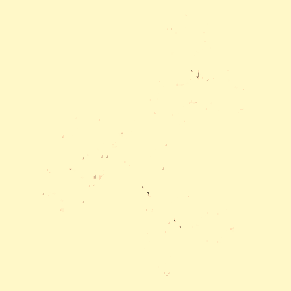 c1ccc(N(c2ccccc2)c2ccc(-c3cc(-c4ccc5c(c4)c4ccccc4n5-c4ccccc4)cc(-c4cccc5c4oc4ccccc45)c3)nc2)cc1